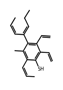 C=Cc1c(S)c(/C=C\C)c(C)c(C(/C=C\C)=C/CC)c1C=C